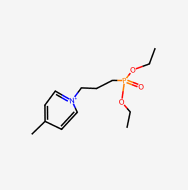 CCOP(=O)(CCC[n+]1ccc(C)cc1)OCC